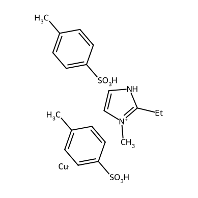 CCc1[nH]cc[n+]1C.Cc1ccc(S(=O)(=O)O)cc1.Cc1ccc(S(=O)(=O)O)cc1.[Cu]